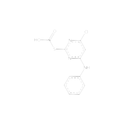 O=C(O)Sc1nc(Cl)cc(Nc2ccccc2)n1